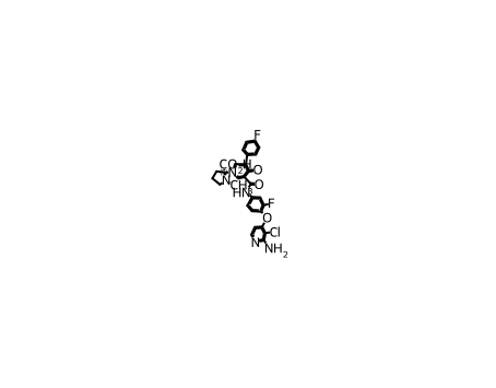 CN1CCC[C@@]1(C(=O)O)n1cc(C(=O)Nc2ccc(Oc3ccnc(N)c3Cl)c(F)c2)c(=O)c(-c2ccc(F)cc2)c1